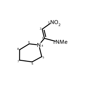 CNC(=C[N+](=O)[O-])N1CCCCC1